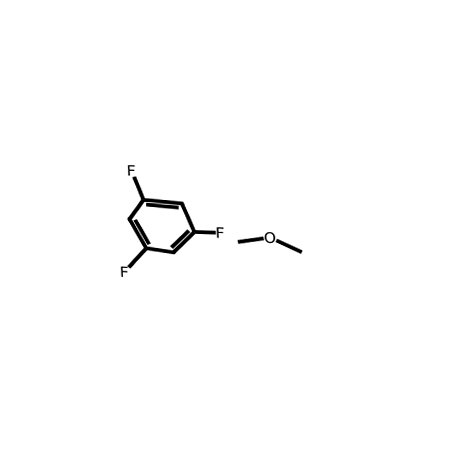 COC.Fc1cc(F)cc(F)c1